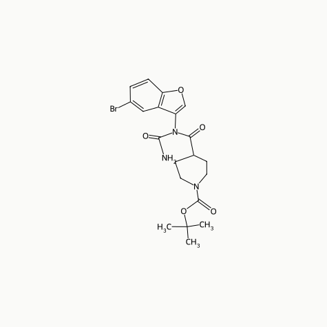 CC(C)(C)OC(=O)N1CCC(C(=O)N(C(N)=O)c2coc3ccc(Br)cc23)CC1